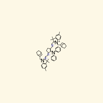 Cc1ccc2c(c1)C(C)(C)C(/C=C/C1=C(N(c3ccccc3)c3ccccc3)C(=C/C=C3/N(CC4CC5CCC4C5)c4ccc(C)cc4C3(C)C)/CC1)=[N+]2CC1CC2CCC1C2